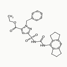 CCOC(=O)c1cc(S(=O)(=O)NC(=O)Nc2c3c(cc4c2CCC4)CCC3)nn1Cc1ccccc1